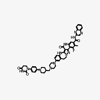 Cc1c(C(=O)Nc2cnc3ccccc3n2)ccc(-c2nn3c(c2C(N)=O)Nc2ccc(N4CCN(CC5CCN(c6ccc(N7CCC(=O)NC7=O)cc6)CC5)CC4)cc2CC3)c1F